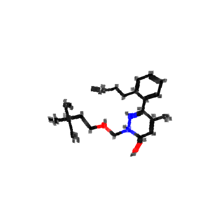 C[Si](C)(C)CCOCn1nc(-c2ccccc2CCC(=O)O)c(C(F)(F)F)cc1=O